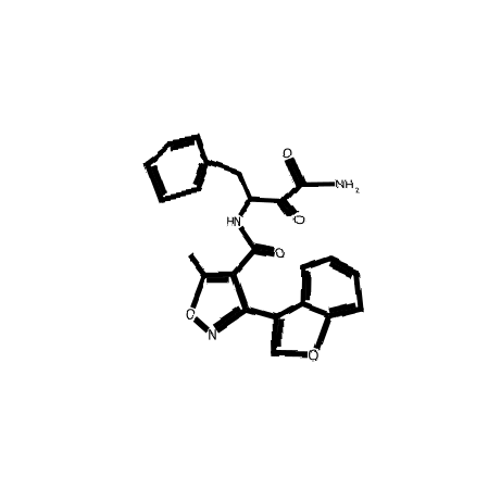 Cc1onc(-c2coc3ccccc23)c1C(=O)NC(Cc1ccccc1)C(=O)C(N)=O